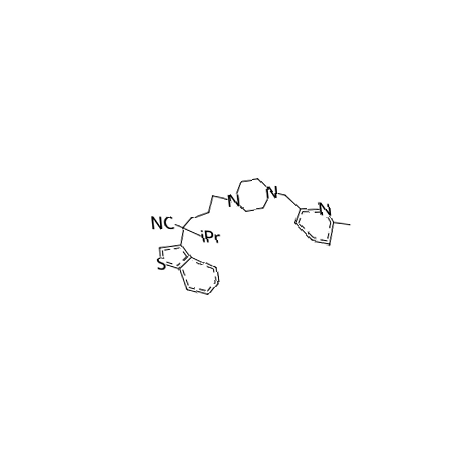 Cc1cccc(CN2CCN(CCCC(C#N)(c3csc4ccccc34)C(C)C)CC2)n1